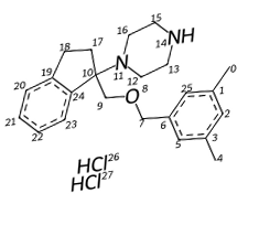 Cc1cc(C)cc(COCC2(N3CCNCC3)CCc3ccccc32)c1.Cl.Cl